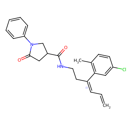 C=C/C=C(/CCNC(=O)C1CC(=O)N(c2ccccc2)C1)c1cc(Cl)ccc1C